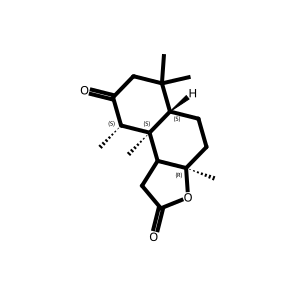 C[C@@H]1C(=O)CC(C)(C)[C@@H]2CC[C@@]3(C)OC(=O)CC3[C@@]12C